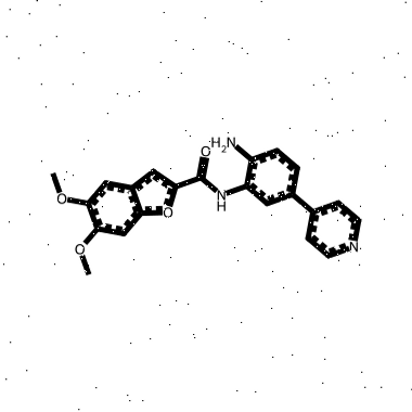 COc1cc2cc(C(=O)Nc3cc(-c4ccncc4)ccc3N)oc2cc1OC